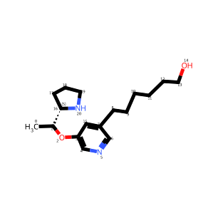 CC(Oc1cncc(CCCCCCO)c1)[C@@H]1CCCN1